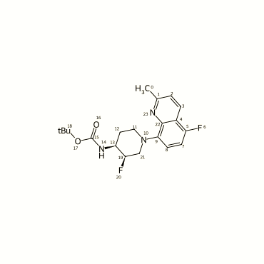 Cc1ccc2c(F)ccc(N3CC[C@H](NC(=O)OC(C)(C)C)[C@H](F)C3)c2n1